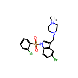 CN1CCN(Cc2cn(S(=O)(=O)c3ccccc3Br)c3ccc(Br)cc23)CC1